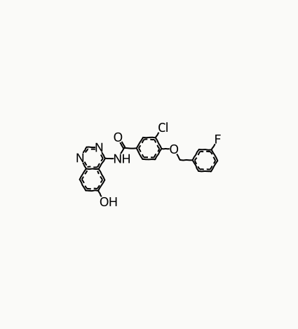 O=C(Nc1ncnc2ccc(O)cc12)c1ccc(OCc2cccc(F)c2)c(Cl)c1